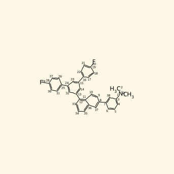 CN(C)c1cccc(-c2ccc3c(-c4cc(-c5ccc(F)cc5)cc(-c5ccc(F)cc5)c4)cccc3c2)c1